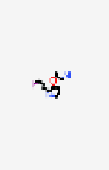 C=C(C=N)Oc1cccnc1C/C=C\I